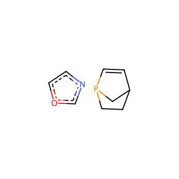 C1=CP2CCC1C2.c1cocn1